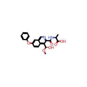 CO[C@H](O)c1c(C(=O)NC(C)C(=O)O)ncc2cc(Oc3ccccc3)ccc12